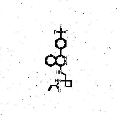 C=CC(=O)NC1(CNc2nnc(-c3ccc(C(F)(F)F)cc3)c3ccccc23)CCC1